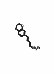 CCOC(=O)/C=C/C=C/c1ccc2c(c1)OCCO2